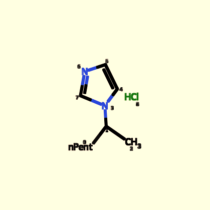 CCCCCC(C)n1ccnc1.Cl